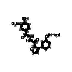 CCCCCCCOc1cccc(-c2ccoc2C(=O)NNC(=O)c2ccc(O)c([N+](=O)[O-])c2)c1